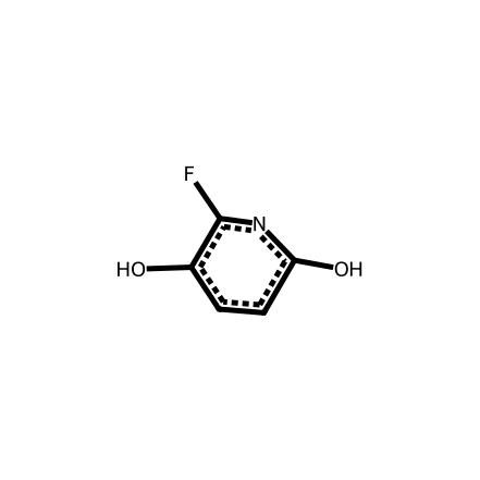 Oc1ccc(O)c(F)n1